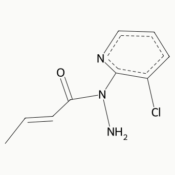 C/C=C/C(=O)N(N)c1ncccc1Cl